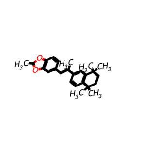 CC(=Cc1ccc2c(c1)OC(C)O2)c1ccc2c(c1)C(C)(C)CCC2(C)C